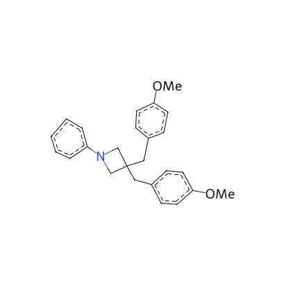 COc1ccc(CC2(Cc3ccc(OC)cc3)CN(c3ccccc3)C2)cc1